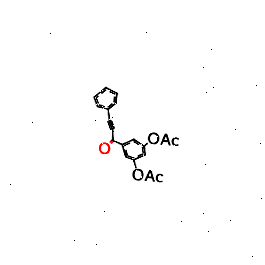 CC(=O)Oc1cc(OC(C)=O)cc(C(=O)C#Cc2ccccc2)c1